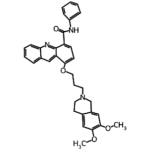 COc1cc2c(cc1OC)CN(CCCOc1ccc(C(=O)Nc3ccccc3)c3nc4ccccc4cc13)CC2